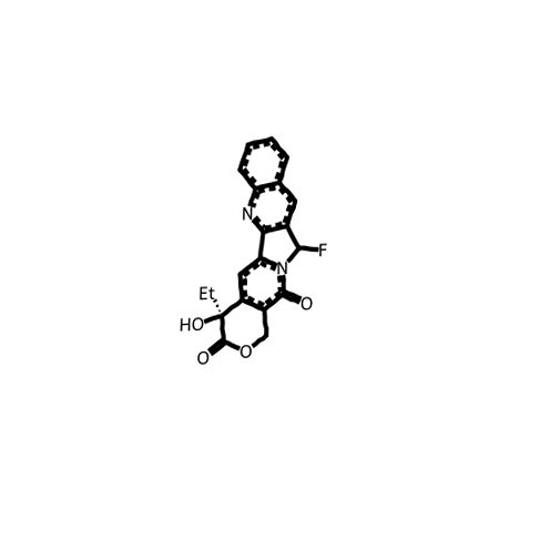 CC[C@@]1(O)C(=O)OCc2c1cc1n(c2=O)C(F)c2cc3ccccc3nc2-1